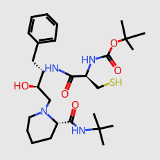 CC(C)(C)NC(=O)[C@@H]1CCCCN1C[C@@H](O)[C@H](Cc1ccccc1)NC(=O)[C@H](CS)NC(=O)OC(C)(C)C